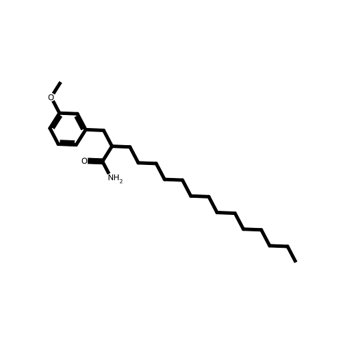 CCCCCCCCCCCCCCC(Cc1cccc(OC)c1)C(N)=O